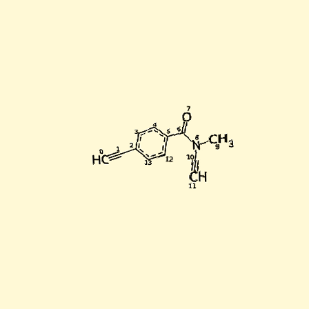 C#Cc1ccc(C(=O)N(C)C#C)cc1